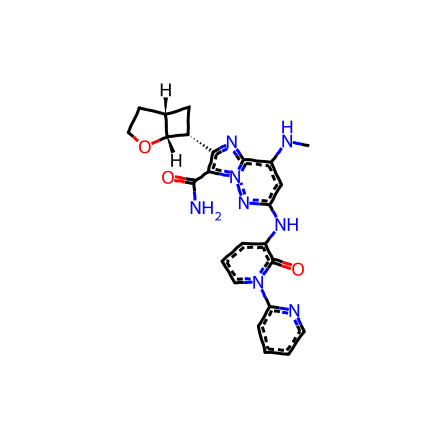 CNc1cc(Nc2cccn(-c3ccccn3)c2=O)nn2c(C(N)=O)c([C@H]3C[C@H]4CCO[C@H]43)nc12